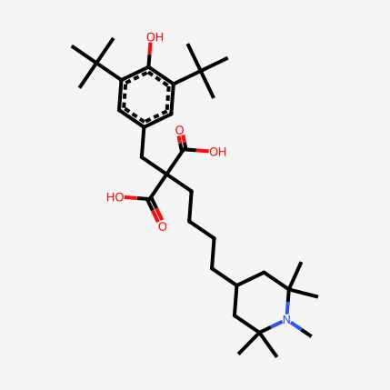 CN1C(C)(C)CC(CCCCC(Cc2cc(C(C)(C)C)c(O)c(C(C)(C)C)c2)(C(=O)O)C(=O)O)CC1(C)C